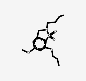 CCCCN1Cc2cc(OC)cc(SCCC)c2S1(=O)=O